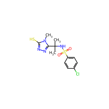 Cn1c(S)nnc1C(C)(C)NS(=O)(=O)c1ccc(Cl)cc1